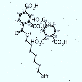 CC(C)CCCCCCCOC(=O)c1ccc(C(=O)O)cc1C(=O)O.O=C(O)c1ccc(C(=O)O)c(C(=O)O)c1